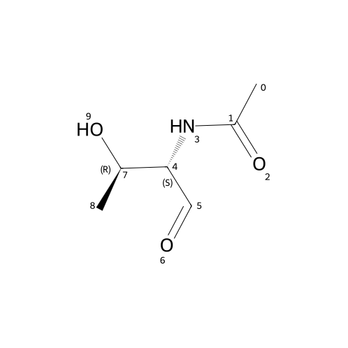 CC(=O)N[C@H](C=O)[C@@H](C)O